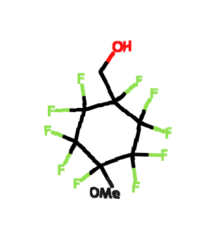 COC1(F)C(F)(F)C(F)(F)C(F)(CO)C(F)(F)C1(F)F